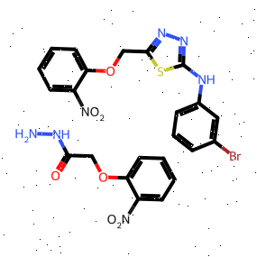 NNC(=O)COc1ccccc1[N+](=O)[O-].O=[N+]([O-])c1ccccc1OCc1nnc(Nc2cccc(Br)c2)s1